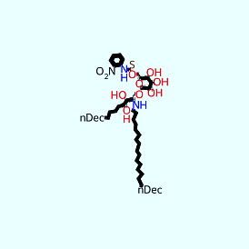 CCCCCCCCCCCCCCCCCCCCCCCCCCN[C@@H](CO[C@@H]1O[C@H](COC(=S)Nc2ccccc2[N+](=O)[O-])[C@H](O)[C@H](O)[C@H]1O)[C@H](O)[C@H](O)CCCCCCCCCCCCCC